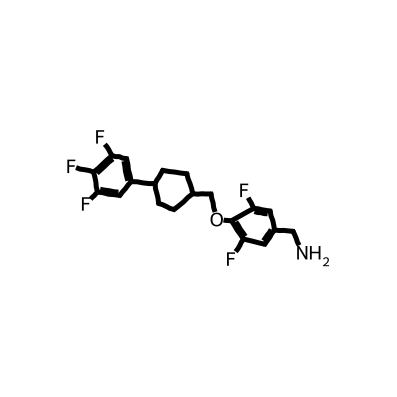 NCc1cc(F)c(OCC2CCC(c3cc(F)c(F)c(F)c3)CC2)c(F)c1